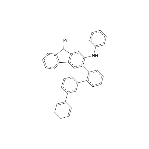 CC(C)C1c2ccccc2-c2cc(-c3ccccc3-c3cccc(C4=CCCC=C4)c3)c(Nc3ccccc3)cc21